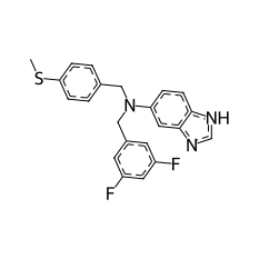 CSc1ccc(CN(Cc2cc(F)cc(F)c2)c2ccc3[nH]cnc3c2)cc1